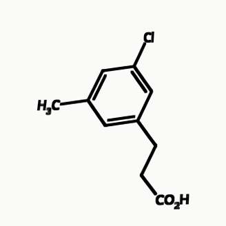 Cc1cc(Cl)cc(CCC(=O)O)c1